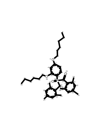 CCCCCCOc1ccc(P(=O)(C(=O)c2c(C)cc(C)cc2C)C(=O)c2c(C)cc(C)cc2C)c(OCCCCCC)c1